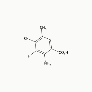 Cc1cc(C(=O)O)c(N)c(F)c1Cl